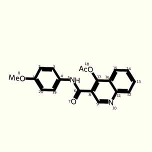 COc1ccc(NC(=O)c2cnc3ccccc3c2OC(C)=O)cc1